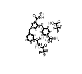 CCNC(=O)c1cn(Cc2cccc(C(=N)N)c2)cc1Cc1ccc(C(=N)N)cc1.O=C(O)C(F)(F)F.O=C(O)C(F)(F)F